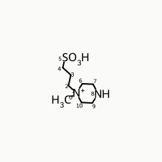 C[N+]1(CCCS(=O)(=O)O)CCNCC1